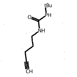 C#CCCCNC(=O)PC(C)(C)C